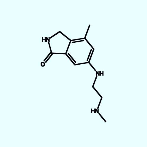 CNCCNc1cc(C)c2c(c1)C(=O)NC2